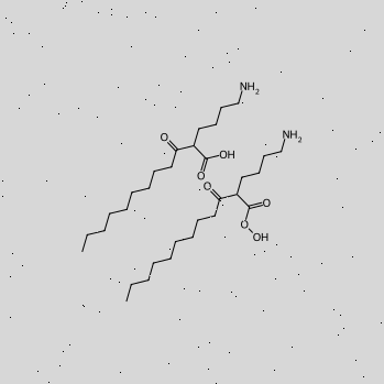 CCCCCCCCCC(=O)C(CCCCN)C(=O)O.CCCCCCCCCC(=O)C(CCCCN)C(=O)OO